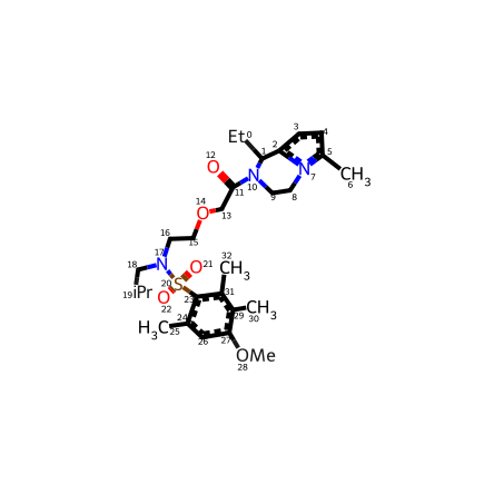 CCC1c2ccc(C)n2CCN1C(=O)COCCN(CC(C)C)S(=O)(=O)c1c(C)cc(OC)c(C)c1C